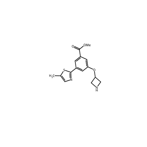 COC(=O)c1cc(OC2CNC2)cc(-c2ncc(C)s2)c1